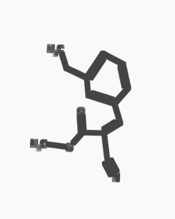 CCc1cccc(C=C(C#N)C(=O)OC)c1